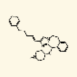 CN1CCC(OC2c3ccccc3CCn3cc(C=CCCCc4ccccc4)nc32)CC1